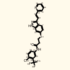 O=C(CCSc1ccc2c(/C=C/c3ccccn3)n[nH]c2c1)Nc1ccc(Cl)c(C(F)(F)F)c1